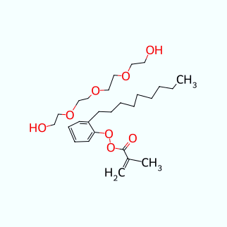 C=C(C)C(=O)OOc1ccccc1CCCCCCCCC.OCCOCCOCCOCCO